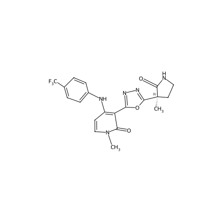 Cn1ccc(Nc2ccc(C(F)(F)F)cc2)c(-c2nnc([C@]3(C)CCNC3=O)o2)c1=O